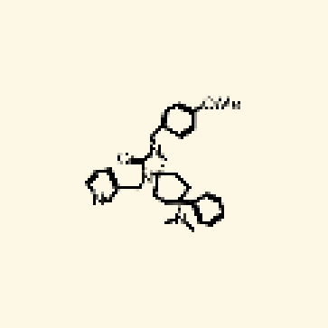 COc1ccc(CN2C[C@]3(CC[C@](c4ccccc4)(N(C)C)CC3)N(Cc3cccnc3)C2=O)cc1